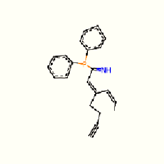 C#CCCC(/C=C\C)=C/C(=N)P(c1ccccc1)c1ccccc1